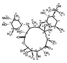 CC[C@H]1OC(=O)[C@H](C)[C@@H](O[C@H]2C[C@@](C)(OC)[C@@H](O)[C@H](C)O2)[C@H](C)[C@@H](O[C@@H]2O[C@H](C)C[C@H]([N+](C)(C)O)[C@H]2O)[C@](C)(O)C[C@@H](C)C(=O)[C@H](C)[C@@H](O)[C@]1(C)O